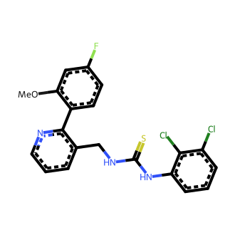 COc1cc(F)ccc1-c1ncccc1CNC(=S)Nc1cccc(Cl)c1Cl